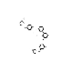 Cc1cc(CN2CC[C@@H](O)C2)ccc1OCc1cccc(-c2cccc(COc3ccc(CN4CC[C@@H](O)C4)cc3C)c2C)c1C